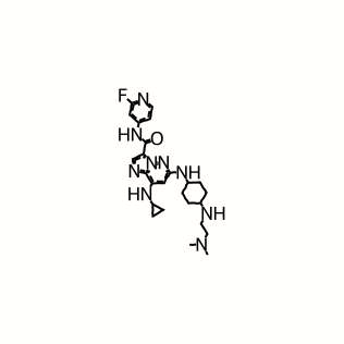 CN(C)CCNC1CCC(Nc2cc(NC3CC3)c3ncc(C(=O)Nc4ccnc(F)c4)n3n2)CC1